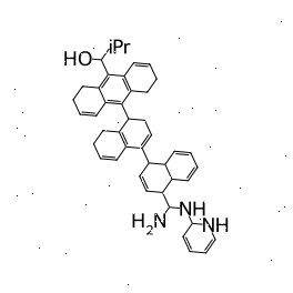 CC(C)C(O)c1c2c(c(C3CC=C(C4C=CC(C(N)NC5C=CC=CN5)C5C=CC=CC45)C4=C3CCC=C4)c3c1CCC=C3)CCC=C2